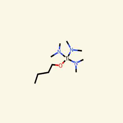 CCCC[O][Ti]([N](C)C)([N](C)C)[N](C)C